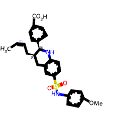 C/C=C\C[C@@H]1Cc2cc(S(=O)(=O)Nc3ccc(OC)cc3)ccc2N[C@@H]1c1ccc(C(=O)O)cc1